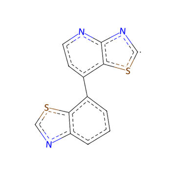 [c]1nc2nccc(-c3cccc4ncsc34)c2s1